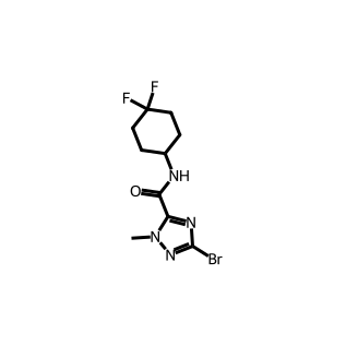 Cn1nc(Br)nc1C(=O)NC1CCC(F)(F)CC1